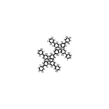 c1ccc(-c2ccc([Si](c3ccc(-c4ccccc4)cc3)(c3ccc(-c4ccccc4)cc3)c3ccc(-c4ccc([Si](c5ccc(-c6ccccc6)cc5)(c5ccc(-c6ccccc6)cc5)c5ccc(-c6ccccc6)cc5)cc4)cc3)cc2)cc1